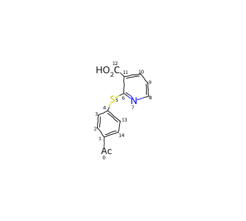 CC(=O)c1ccc(Sc2ncccc2C(=O)O)cc1